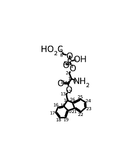 NC(COP(=O)(O)OCC(=O)O)C(=O)OCC1c2ccccc2-c2ccccc21